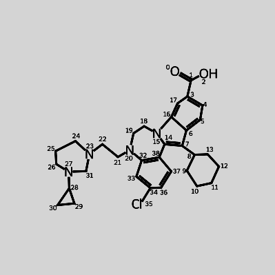 O=C(O)c1ccc2c(C3CCCCC3)c3n(c2c1)CCN(CCN1CCCN(C2CC2)C1)c1cc(Cl)ccc1-3